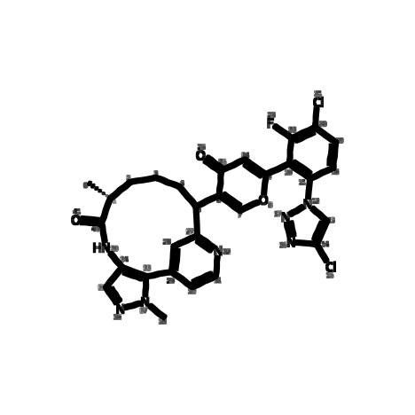 C[C@@H]1CCCC(c2coc(-c3c(-n4cc(Cl)nn4)ccc(Cl)c3F)cc2=O)c2cc(ccn2)-c2c(cnn2C)NC1=O